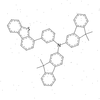 CC1(C)c2ccccc2-c2cc(N(c3cccc(-c4cccc5c4sc4ccccc45)c3)c3ccc4c(c3)C(C)(C)c3ccccc3-4)ccc21